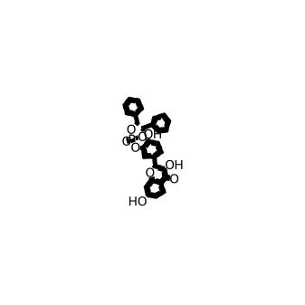 O=c1c(O)c(-c2ccc(O)c(OP(=O)(OCc3ccccc3)OCc3ccccc3)c2)oc2cc(O)ccc12